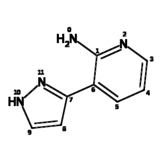 Nc1ncccc1-c1cc[nH]n1